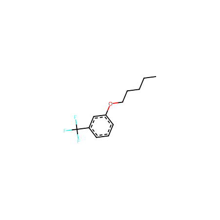 CCCCCOc1cccc(C(F)(F)F)c1